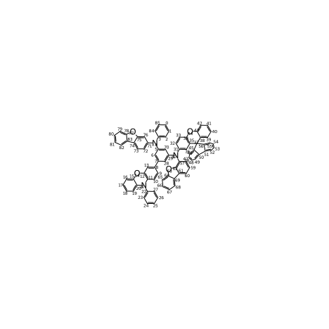 c1ccc(N(c2cc(-c3ccc4c(c3)Oc3ccccc3N4c3ccccc3)cc(N(c3ccc4c(c3)C3(c5ccccc5O4)c4ccccc4-c4ccccc43)c3cccc4c3oc3ccccc34)c2)c2ccc3c(c2)oc2ccccc23)cc1